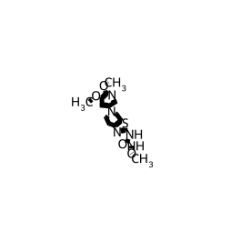 CONC(=O)Nc1nc2c(s1)CN(c1cnc(OC)c(OC)c1)CC2